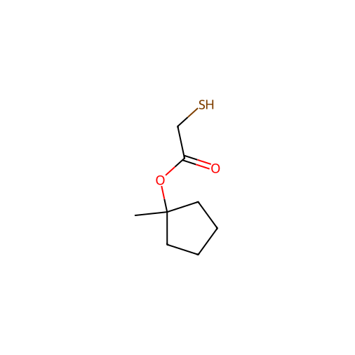 CC1(OC(=O)CS)CCCC1